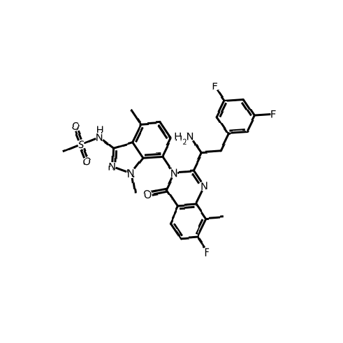 Cc1c(F)ccc2c(=O)n(-c3ccc(C)c4c(NS(C)(=O)=O)nn(C)c34)c(C(N)Cc3cc(F)cc(F)c3)nc12